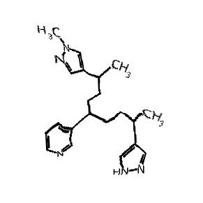 CC(CCC(CCC(C)c1cnn(C)c1)c1cccnc1)c1cn[nH]c1